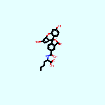 CCCCC(NC(O)c1ccc2c(c1)C(=O)OC21c2ccc(O)cc2OC2C=C(O)C=CC21)C(=O)O